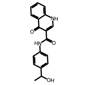 CC(O)c1ccc(NC(=O)c2c[nH]c3ccccc3c2=O)cc1